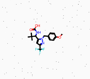 COc1ccc(Cn2nc(C(F)(F)F)cc2C(NC(=O)O)C(C)(C)C)cc1